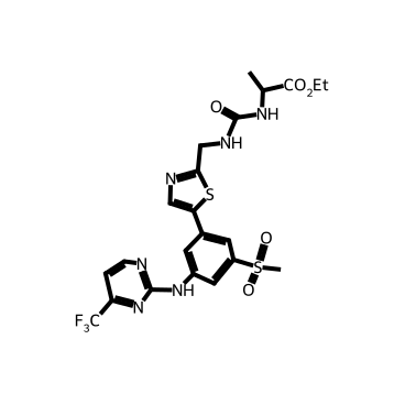 CCOC(=O)C(C)NC(=O)NCc1ncc(-c2cc(Nc3nccc(C(F)(F)F)n3)cc(S(C)(=O)=O)c2)s1